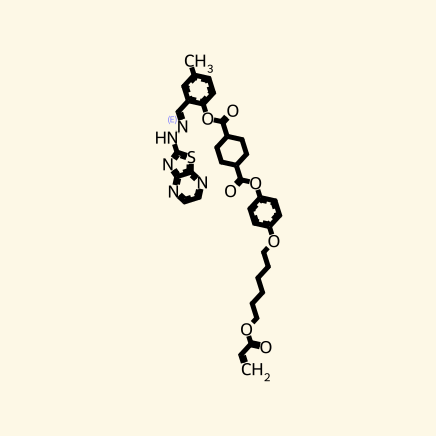 C=CC(=O)OCCCCCCOc1ccc(OC(=O)C2CCC(C(=O)Oc3ccc(C)cc3/C=N/Nc3nc4nccnc4s3)CC2)cc1